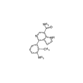 Cc1c(N)cccc1-c1ncc(C(N)=O)c2[nH]ccc12